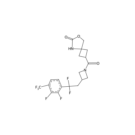 O=C1NC2(CO1)CC(C(=O)N1CC(CC(F)(F)c3ccc(C(F)(F)F)c(F)c3F)C1)C2